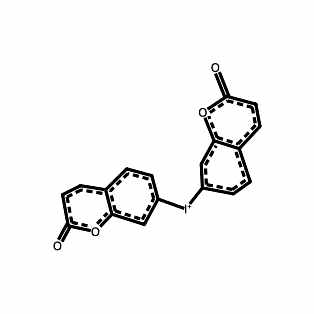 O=c1ccc2ccc([I+]c3ccc4ccc(=O)oc4c3)cc2o1